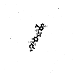 CCN1CCc2[nH]c(-c3ccc(-c4nc(Nc5ccc6[nH]ncc6c5C5CC5)n(C)n4)cc3F)nc2C1C